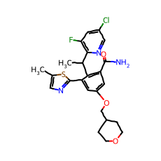 Cc1cnc(-c2cc(OCC3CCOCC3)cc(C(N)=O)c2C(C)c2ncc(Cl)cc2F)s1